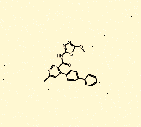 COc1nnc(NC(=O)c2cnc(C)cc2-c2ccc(-c3ccccc3)cc2)s1